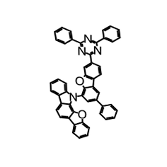 c1ccc(-c2cc(-n3c4ccccc4c4ccc5c6ccccc6oc5c43)c3oc4cc(-c5nc(-c6ccccc6)nc(-c6ccccc6)n5)ccc4c3c2)cc1